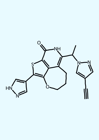 C#Cc1cnn(C(C)c2[nH]c(=O)c3sc(-c4cn[nH]c4)c4c3c2CCCO4)c1